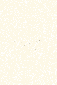 CC(C)(C)OC(=O)Oc1cc(C2CCC3(CC2)CC3)cccc1=O